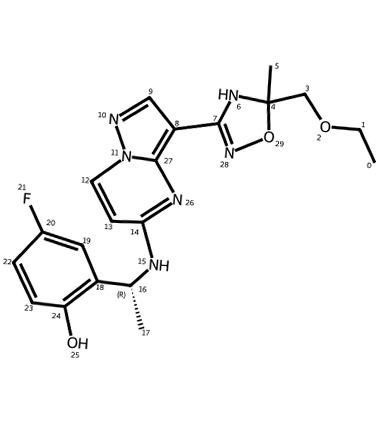 CCOCC1(C)NC(c2cnn3ccc(N[C@H](C)c4cc(F)ccc4O)nc23)=NO1